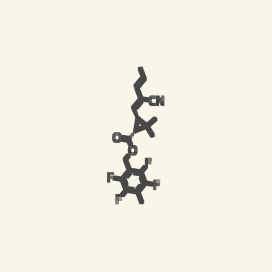 C/C=C/C(C#N)=C/[C@@H]1[C@@H](C(=O)OCc2c(F)c(F)c(C)c(F)c2F)C1(C)C